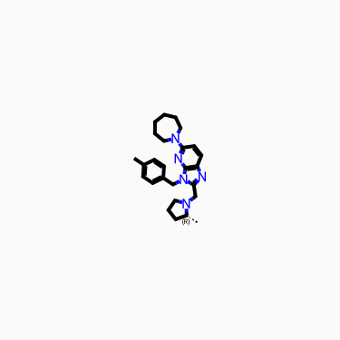 Cc1ccc(Cn2c(CN3CCC[C@H]3C)nc3ccc(N4CCCCCC4)nc32)cc1